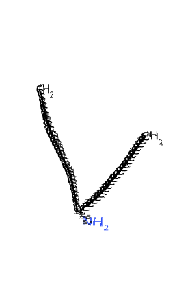 C=C=C=C=C=C=C=C=C=C=C=C=C=C=C=C=C=C=C=C=C=C=C=C=C=C=C=C=C=C=CC(=C=C=C=C=C=C=C=C=C=C=C=C=C=C=C=C=C=C=C=C=C=C=C)CCN